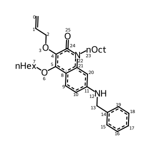 C=CCOc1c(OCCCCCC)c2ccc(NCc3ccccc3)cc2n(CCCCCCCC)c1=O